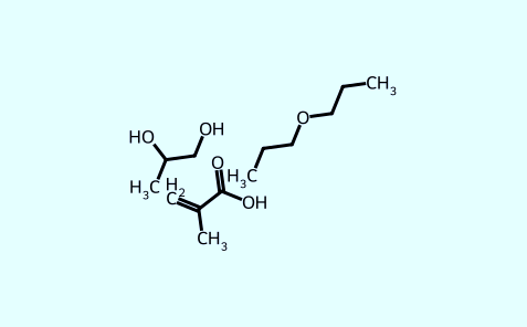 C=C(C)C(=O)O.CC(O)CO.CCCOCCC